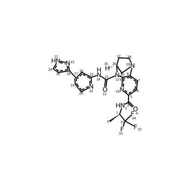 C[C@@H](NC(=O)c1ccc2c(n1)N(C(=O)Nc1cc(-c3cc[nH]n3)ccn1)[C@H]1CCN2C1)C(F)(F)F